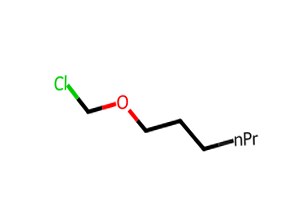 CCCCCCOCCl